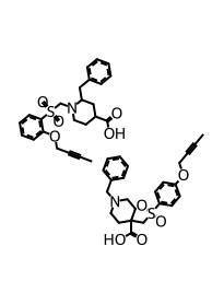 CC#CCOc1ccc(S(=O)(=O)CC2(C(=O)O)CCN(Cc3ccccc3)CC2)cc1.CC#CCOc1ccccc1S(=O)(=O)CN1CCC(C(=O)O)CC1Cc1ccccc1